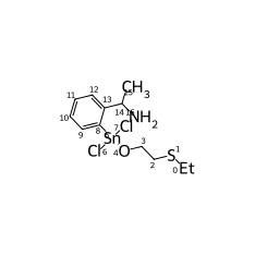 CCSCC[O][Sn]([Cl])([Cl])[c]1ccccc1C(C)N